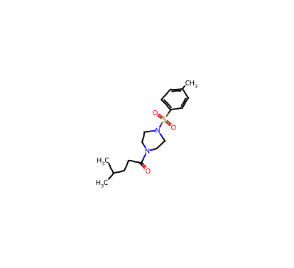 Cc1ccc(S(=O)(=O)N2CCN(C(=O)[CH]CC(C)C)CC2)cc1